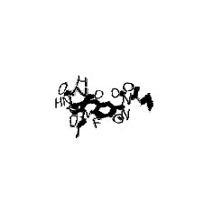 C=CC[C@H]1COC(=O)N1c1noc2c(F)c3c(cc12)CC1(C(=O)NC(=O)NC1=O)[C@H]1[C@H](C)O[C@H](C)CN31